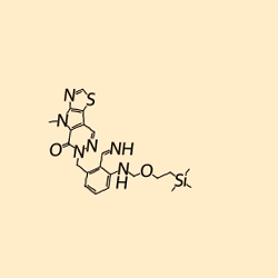 Cn1c2ncsc2c2cnn(Cc3cccc(NCOCC[Si](C)(C)C)c3C=N)c(=O)c21